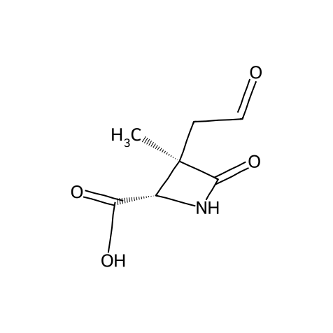 C[C@]1(CC=O)C(=O)N[C@@H]1C(=O)O